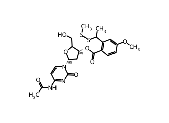 COc1ccc(C(=O)O[C@@H]2C[C@H](n3ccc(NC(C)=O)nc3=O)OC2CO)c(C(C)SSC)c1